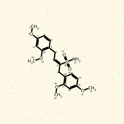 COc1ccc(C/C=C(/Cc2ccc(OC)cc2OC)S(N)(=O)=O)c(OC)c1